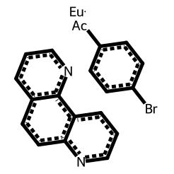 CC(=O)c1ccc(Br)cc1.[Eu].c1cnc2c(c1)ccc1ncccc12